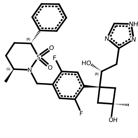 C[C@H]1CC[C@H](c2ccccc2)S(=O)(=O)N1Cc1cc(F)c([C@]2([C@H](O)Cc3nc[nH]n3)C[C@](C)(O)C2)cc1F